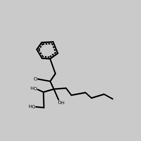 CCCCCCC(O)(C(O)CO)C(Cl)Cc1ccccc1